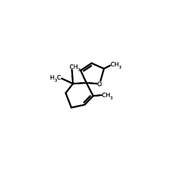 CC1=CCCC(C)(C)C12C=CC(C)O2